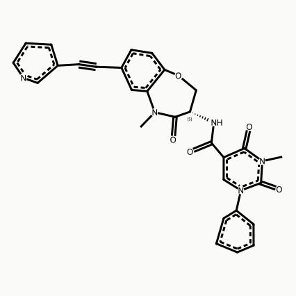 CN1C(=O)[C@@H](NC(=O)c2cn(-c3ccccc3)c(=O)n(C)c2=O)COc2ccc(C#Cc3cccnc3)cc21